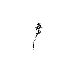 C=C(OC)Oc1c2cc(C)c(C)cc2c(OCC(=O)OCCCCCCCCCCCCOC)c2cc(C)c(C)cc12